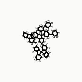 CC1(C)c2ccccc2-c2ccc(N(c3ccc4c(c3)C(c3ccccc3)(c3ccccc3)c3ccccc3-4)c3cccc4c3-c3ccccc3C4(c3ccc(-c4ccccc4)cc3)c3cccc(-c4ccccc4)c3)cc21